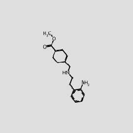 COC(=O)C1CCC(CNCCc2ccccc2N)CC1